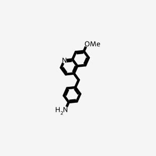 COc1ccc2c(Cc3ccc(N)cc3)ccnc2c1